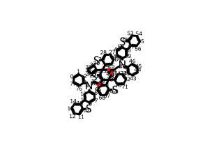 c1ccc(N(c2ccc3sc4ccccc4c3c2)c2cc3c(s2)C2(c4ccccc4Sc4ccccc42)c2cc(N(c4ccccc4)c4ccc5sc6ccccc6c5c4)sc2C32c3ccccc3Sc3ccccc32)cc1